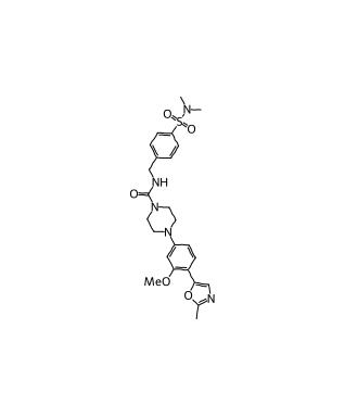 COc1cc(N2CCN(C(=O)NCc3ccc(S(=O)(=O)N(C)C)cc3)CC2)ccc1-c1cnc(C)o1